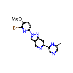 COc1ccc(-n2cc3cnc(-c4cncc(C)n4)cc3n2)nc1Br